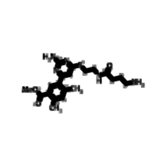 COC(=O)c1cc(-c2cc(SCCNC(=O)CCCN)nc(N)n2)c(C)cc1C